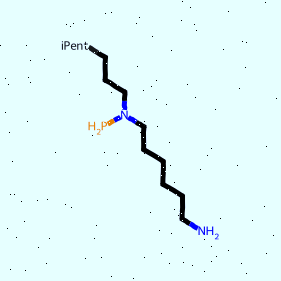 CCCC(C)CCCN(P)CCCCCCN